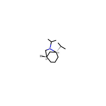 CC(C)N1C[C@H]2CCC[C@@]1(C(C)C)C2